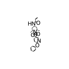 C=CC(=O)NC1CC(C)N(S(=O)(=O)c2ccc(Oc3ccccc3)nc2)C(C)C1